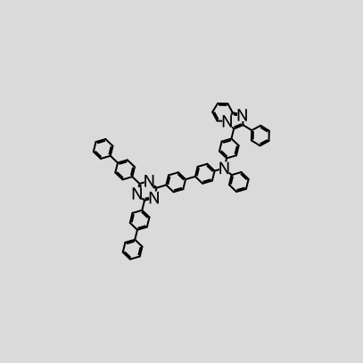 c1ccc(-c2ccc(-c3nc(-c4ccc(-c5ccccc5)cc4)nc(-c4ccc(-c5ccc(N(c6ccccc6)c6ccc(-c7c(-c8ccccc8)nc8ccccn78)cc6)cc5)cc4)n3)cc2)cc1